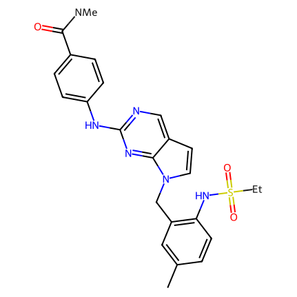 CCS(=O)(=O)Nc1ccc(C)cc1Cn1ccc2cnc(Nc3ccc(C(=O)NC)cc3)nc21